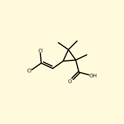 CC1(C)C(C=C(Cl)Cl)C1(C)C(=O)O